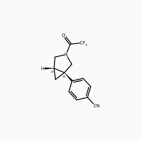 N#Cc1ccc([C@@]23C[C@@H]2CN(C(=O)C(F)(F)F)C3)cc1